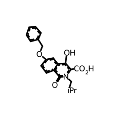 CC(C)Cn1c(C(=O)O)c(O)c2cc(OCc3ccccc3)ccc2c1=O